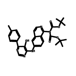 Cc1ccc(-c2ncnc(Nc3ccc4c(N(C(=O)OC(C)(C)C)C(=O)OC(C)(C)C)nccc4c3)c2O)cc1